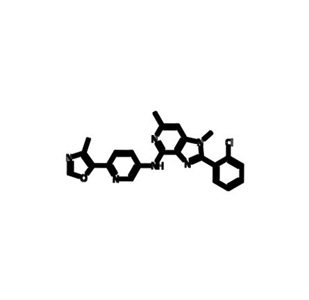 Cc1cc2c(nc(-c3ccccc3Cl)n2C)c(Nc2ccc(-c3ocnc3C)nc2)n1